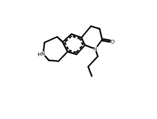 CCCN1C(=O)CCc2cc3c(cc21)CCNCC3